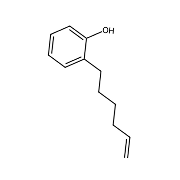 C=CCCCCc1ccccc1O